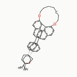 CCC[C@H]1CC[C@H](c2ccc(-c3ccc4c5c(ccc4c3)OCCCCCCCOc3ccc4cc(-c6ccc([C@H]7CC[C@H](CCC)CC7)cc6)ccc4c3-5)cc2)CC1